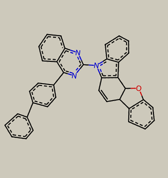 C1=CC2c3ccccc3OC2c2c1n(-c1nc(-c3ccc(-c4ccccc4)cc3)c3ccccc3n1)c1ccccc21